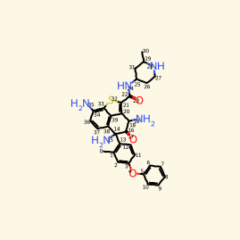 Cc1cc(Oc2ccccc2)ccc1C1(N)C(=O)C(N)c2c(C(=O)NC3CCNC(C)C3)sc3c(N)ccc1c23